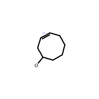 [O]C1C/C=C\CCCC1